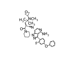 CN(C1COC1)C(C)(C)C=C(C#N)C(=O)N1CCC[C@@H](n2nc(-c3ccc(Oc4ccccc4)cc3F)c3c(N)nccc32)C1